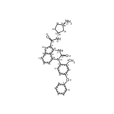 Cc1cc(Oc2ccccc2)ccc1N1C(=O)Nc2c(C(=O)N[C@@H]3CC[C@@H](N)C3)sc3nccc1c23